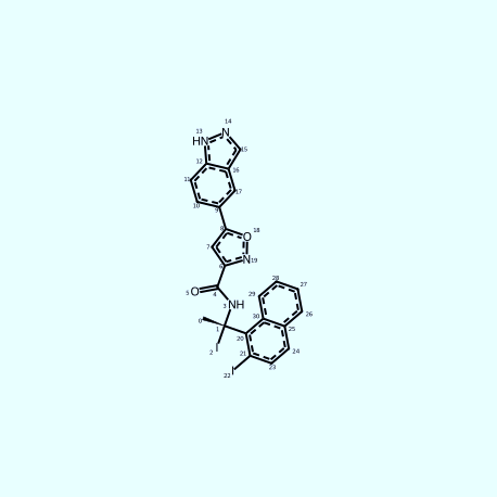 C[C@@](I)(NC(=O)c1cc(-c2ccc3[nH]ncc3c2)on1)c1c(I)ccc2ccccc12